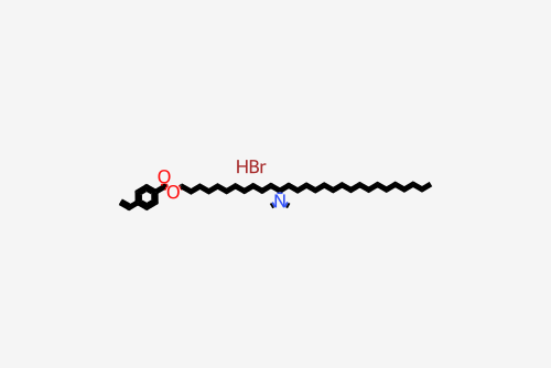 Br.C=Cc1ccc(C(=O)OCCCCCCCCCCCC(CCCCCCCCCCCCCCCCC)N(C)C)cc1